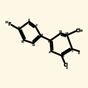 Cc1c(Cl)cc(-c2ccc(F)cc2)cc1Cl